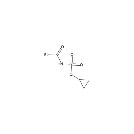 CCC(=O)NS(=O)(=O)OC1CC1